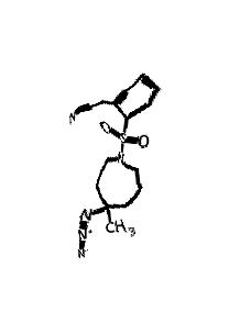 CC1(N=[N+]=[N-])CCCN(S(=O)(=O)c2ccccc2C#N)CC1